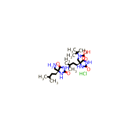 CC(C)CC[C@]1(CN(C(=O)O)C(C)(C)C)NC(=O)NC1=O.CC(C)CC[C@]1(CN)NC(=O)NC1=O.Cl